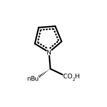 CCCC[C@@H](C(=O)O)n1cccc1